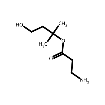 CC(C)(CCO)OC(=O)CCN